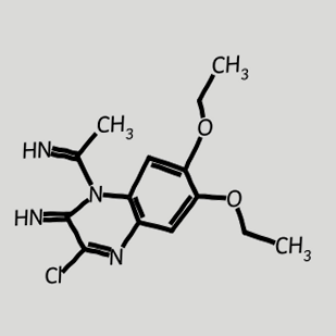 CCOc1cc2nc(Cl)c(=N)n(C(C)=N)c2cc1OCC